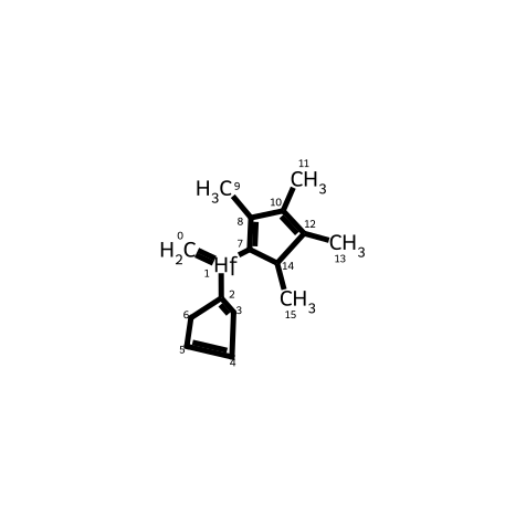 [CH2]=[Hf]([C]1=CC=CC1)[C]1=C(C)C(C)=C(C)C1C